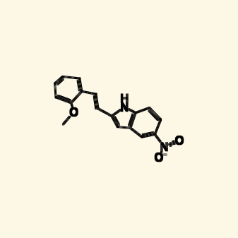 COc1ccccc1/C=C/c1cc2cc([N+](=O)[O-])ccc2[nH]1